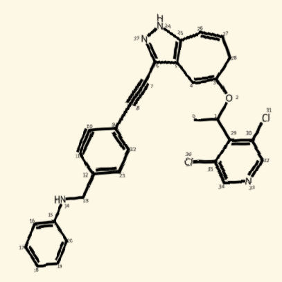 CC(OC1=Cc2c(C#Cc3c#cc(CNc4ccccc4)cc3)n[nH]c2C=CC1)c1c(Cl)cncc1Cl